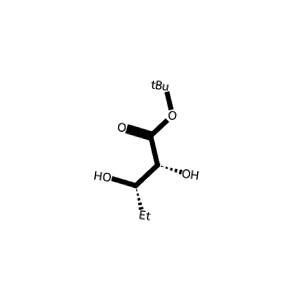 CC[C@H](O)[C@@H](O)C(=O)OC(C)(C)C